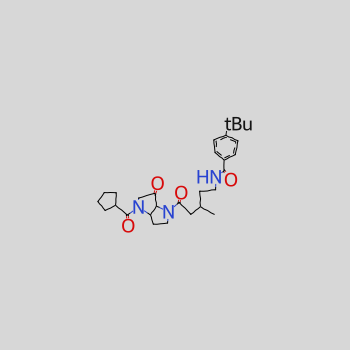 CC(CCNC(=O)c1ccc(C(C)(C)C)cc1)CC(=O)N1CCC2C1C(=O)CN2C(=O)C1CCCC1